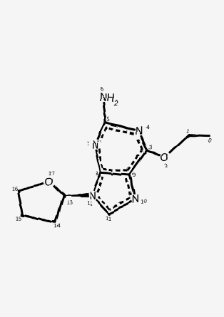 CCOc1nc(N)nc2c1ncn2[C@H]1CCCO1